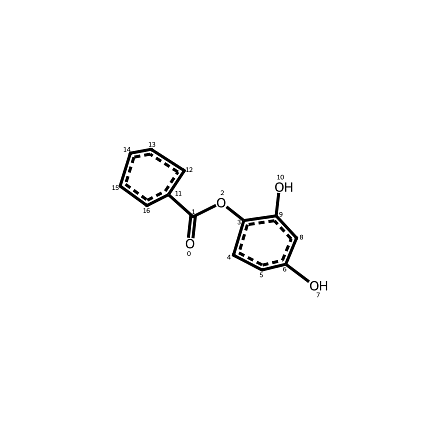 O=C(Oc1ccc(O)cc1O)c1ccccc1